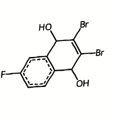 OC1C(Br)=C(Br)C(O)c2cc(F)ccc21